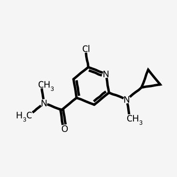 CN(C)C(=O)c1cc(Cl)nc(N(C)C2CC2)c1